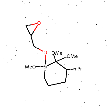 CCCC1CCC[Si](OC)(OCC2CO2)C1(OC)OC